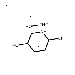 CCC1CCC(O)CN1.O=CO